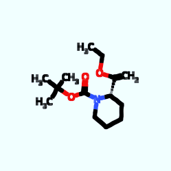 C=C(OCC)[C@@H]1CCCCN1C(=O)OC(C)(C)C